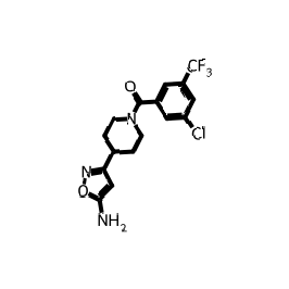 Nc1cc(C2CCN(C(=O)c3cc(Cl)cc(C(F)(F)F)c3)CC2)no1